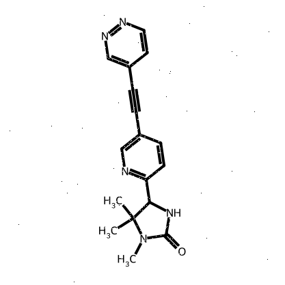 CN1C(=O)NC(c2ccc(C#Cc3ccnnc3)cn2)C1(C)C